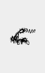 COc1ccc(CN2CCCN(c3ncccc3C(=O)NC(C=O)Cc3ccccc3)CC2)cc1